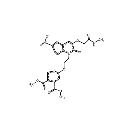 CNC(=O)COc1cc2cc([N+](=O)[O-])ccc2n(CCOc2ccc(C(=O)OC)c(C(=O)OC)c2)c1=O